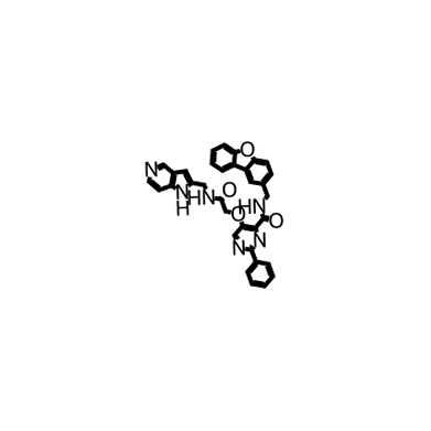 O=C(COc1cnc(-c2ccccc2)nc1C(=O)NCc1ccc2oc3ccccc3c2c1)NCc1cc2cnccc2[nH]1